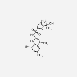 Cc1cc(C(C)C)c2c(c1)C(C)C=C(NS(=O)(=O)c1cnc(C(C)(C)O)s1)N2